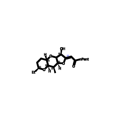 CCCCCC(=O)/C=C1\O[C@@H]2C(O[C@H]3CC[C@H](CC)O[C@@H]3[C@@H]2C)[C@H]1O